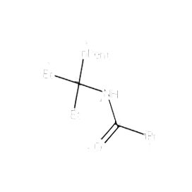 CCCCCC(CC)(CC)NC(=O)C(C)C